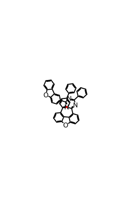 c1ccc(-c2ccc(-c3cccc4oc5cccc(-c6nc(-c7ccccc7)nc(-c7ccc8oc9ccccc9c8c7)n6)c5c34)cc2)cc1